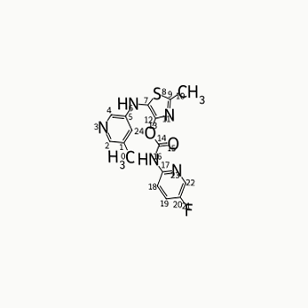 Cc1cncc(Nc2sc(C)nc2OC(=O)Nc2ccc(F)cn2)c1